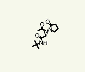 CC(=O)N(CC(=O)NC(C)(C)C)N1CCCC1=O